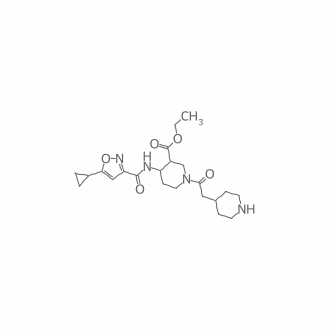 CCOC(=O)C1CN(C(=O)CC2CCNCC2)CCC1NC(=O)c1cc(C2CC2)on1